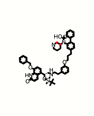 CC(C)(C)[Si](C)(C)O[C@@H](CNCCc1cccc(OCCCc2ccc(-c3ccccc3)c(N(C(=O)O)C3CN4CCC3CC4)c2)c1)c1ccc(OCc2ccccc2)c2[nH]c(=O)ccc12